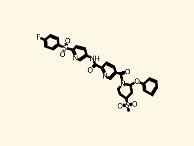 CS(=O)(=O)C1CCN(C(=O)c2ccc(C(=O)Nc3ccc(S(=O)(=O)c4ccc(F)cc4)nc3)nc2)C(Oc2ccccc2)C1